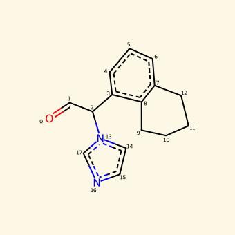 O=CC(c1cccc2c1CCCC2)n1ccnc1